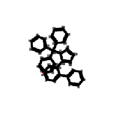 [c]1ccc(-c2ccccc2)c(-c2nnnn2C(c2ccccc2)(c2ccccc2)c2ccccc2)c1